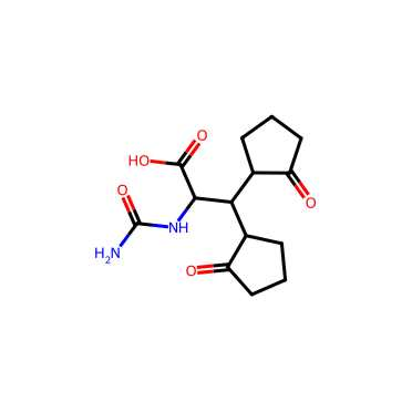 NC(=O)NC(C(=O)O)C(C1CCCC1=O)C1CCCC1=O